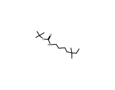 CCC(C)(C)CCCCNC(=O)OC(C)(C)C